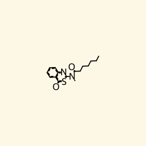 CCCCCCC(=O)N(C)c1nc2ccccc2c(=O)s1